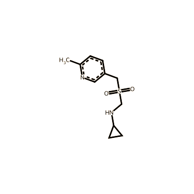 Cc1ccc(CS(=O)(=O)CNC2CC2)cn1